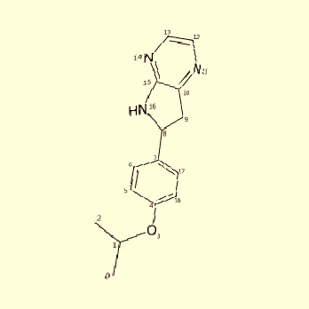 CC(C)Oc1ccc(C2Cc3nccnc3N2)cc1